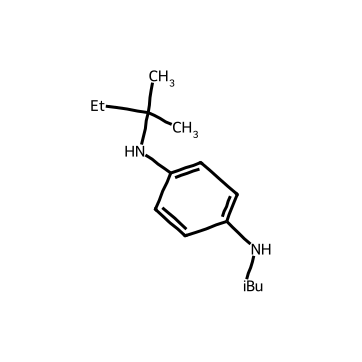 CCC(C)Nc1ccc(NC(C)(C)CC)cc1